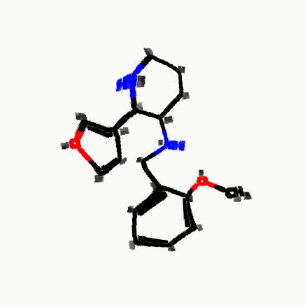 COc1ccccc1CNC1CCCNC1c1ccoc1